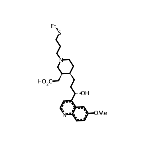 CCSCCCN1CC[C@@H](CC[C@H](O)c2ccnc3ccc(OC)cc23)[C@@H](CC(=O)O)C1